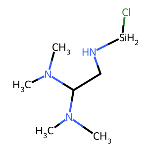 CN(C)C(CN[SiH2]Cl)N(C)C